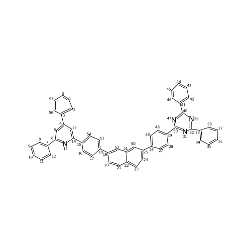 c1ccc(-c2cc(-c3ccccc3)nc(-c3ccc(-c4ccc5ccc(-c6ccc(-c7nc(-c8ccccc8)nc(-c8ccccc8)n7)cc6)cc5c4)cc3)c2)cc1